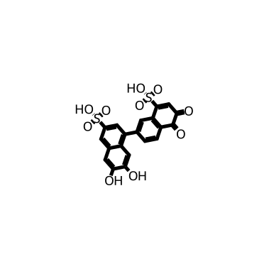 O=C1C=C(S(=O)(=O)O)c2cc(-c3cc(S(=O)(=O)O)cc4cc(O)c(O)cc34)ccc2C1=O